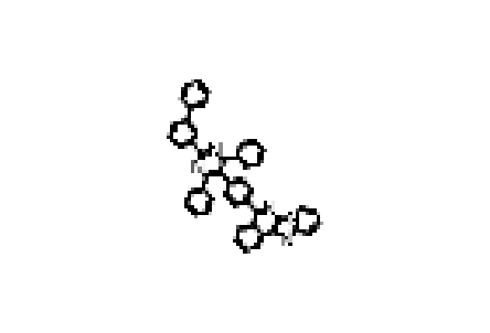 c1ccc(-c2cccc(-c3nc(-c4ccccc4)c(-c4ccc(-c5nc6c(nc7ccccn76)c6ccccc56)cc4)c(-c4ccccc4)n3)c2)cc1